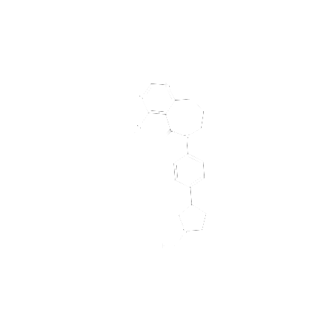 Nc1ncnc2c1C(=O)N(c1ccc(C3CCN(C(=O)O)C3)cc1)CCO2